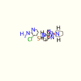 CN(C)[C@H]1C[C@H]2CC[C@@H](C1)N2c1cnc2nc(Sc3ccnc(N)c3Cl)ccc2n1